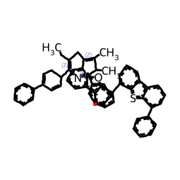 CC/C1=C(C2C=CC(c3ccccc3)=CC2)/N=C(/c2ccccc2)C(C)/C(C)=C(\c2cccc3c2oc2c(-c4cccc5c4sc4c(-c6ccccc6)cccc45)cccc23)C1